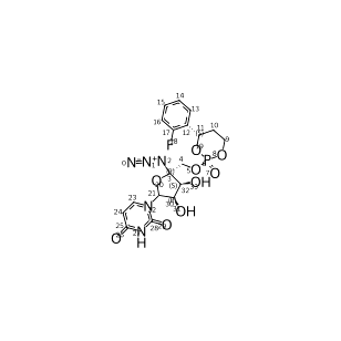 [N-]=[N+]=N[C@]1(COP2(=O)OCC[C@@H](c3ccccc3F)O2)OC(n2ccc(=O)[nH]c2=O)[C@H](O)[C@@H]1O